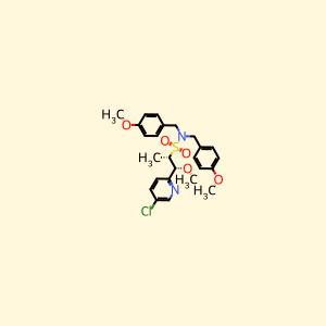 COc1ccc(CN(Cc2ccc(OC)cc2)S(=O)(=O)[C@@H](C)[C@H](OC)c2ccc(Cl)cn2)cc1